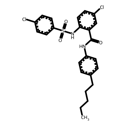 CCCCCc1ccc(NC(=O)c2cc(Cl)ccc2NS(=O)(=O)c2ccc(Cl)cc2)cc1